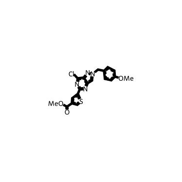 COC(=O)c1csc(-c2nc(Cl)c3nn(Cc4ccc(OC)cc4)cc3n2)c1